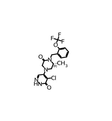 C[C@@H]1CN(c2cn[nH]c(=O)c2Cl)CC(=O)N1Cc1ccccc1OC(F)(F)F